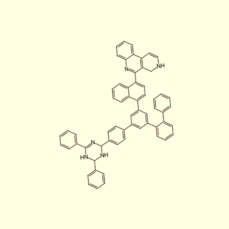 C1=Cc2c(c(-c3ccc(-c4cc(-c5ccc(C6N=C(c7ccccc7)NC(c7ccccc7)N6)cc5)cc(-c5ccccc5-c5ccccc5)c4)c4ccccc34)nc3ccccc23)CN1